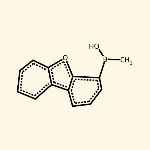 CB(O)c1cccc2c1oc1ccccc12